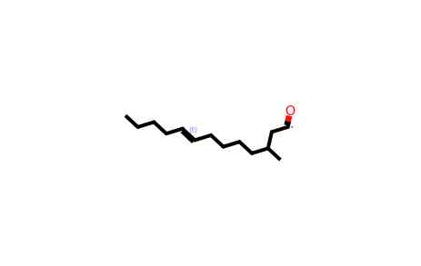 CCCC/C=C/CCCCC(C)C[C]=O